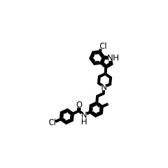 Cc1ccc(NC(=O)c2ccc(Cl)cc2)cc1CCN1CCC(c2c[nH]c3c(Cl)cccc23)CC1